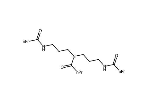 CCCC(=O)NCCCN(CCCNC(=O)CCC)C(=O)CCC